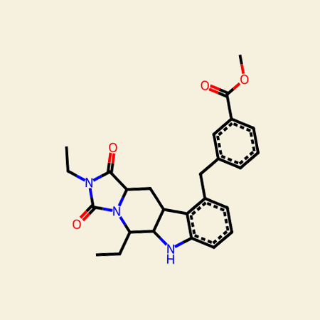 CCC1C2Nc3cccc(Cc4cccc(C(=O)OC)c4)c3C2CC2C(=O)N(CC)C(=O)N21